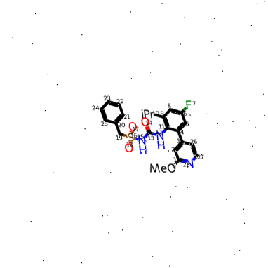 COc1cc(-c2cc(F)cc(C(C)C)c2NC(=O)NS(=O)(=O)Cc2ccccc2)ccn1